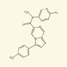 Cc1ccc(-c2cnc3cnc(C(=O)N(C)c4ccc(Cl)nc4)cn23)cc1